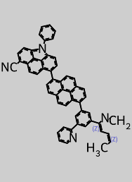 C=N/C(=C\C=C/C)c1cc(-c2ccccn2)cc(-c2ccc3ccc4c(-c5ccc6c7c5ccc5c(C#N)ccc(c57)n6-c5ccccc5)ccc5ccc2c3c54)c1